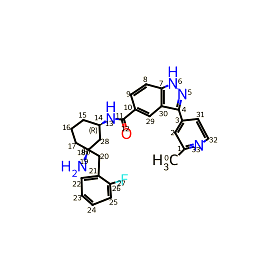 Cc1cc(-c2n[nH]c3ccc(C(=O)N[C@@H]4CCC[C@@](N)(Cc5ccccc5F)C4)cc23)ccn1